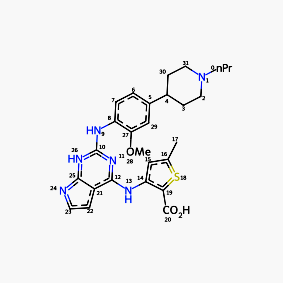 CCCN1CCC(c2ccc(Nc3nc(Nc4cc(C)sc4C(=O)O)c4ccnc-4[nH]3)c(OC)c2)CC1